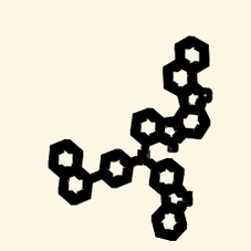 c1ccc2c(-c3ccc(N(c4ccc5sc6ccccc6c5c4)c4cccc5c4sc4ccc6oc7c8ccccc8ccc7c6c45)cc3)cccc2c1